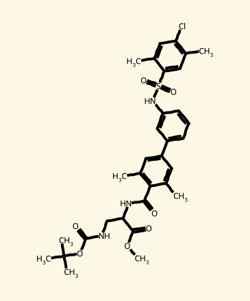 COC(=O)C(CNC(=O)OC(C)(C)C)NC(=O)c1c(C)cc(-c2cccc(NS(=O)(=O)c3cc(C)c(Cl)cc3C)c2)cc1C